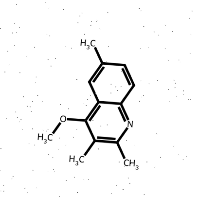 COc1c(C)c(C)nc2ccc(C)cc12